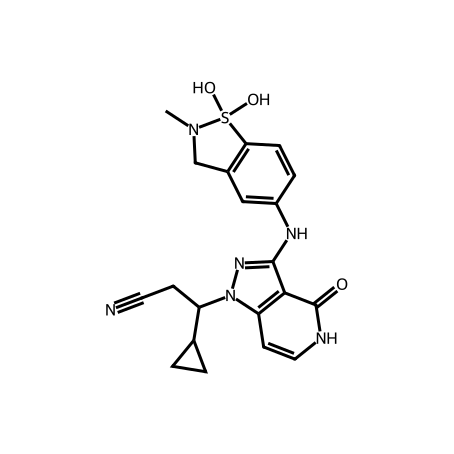 CN1Cc2cc(Nc3nn(C(CC#N)C4CC4)c4cc[nH]c(=O)c34)ccc2S1(O)O